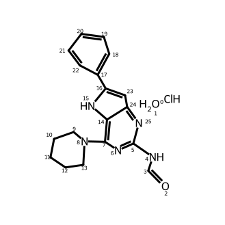 Cl.O.O=CNc1nc(N2CCCCC2)c2[nH]c(-c3ccccc3)cc2n1